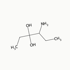 CCC(N)C(O)(O)CC